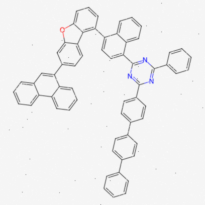 c1ccc(-c2ccc(-c3ccc(-c4nc(-c5ccccc5)nc(-c5ccc(-c6cccc7oc8cc(-c9cc%10ccccc%10c%10ccccc9%10)ccc8c67)c6ccccc56)n4)cc3)cc2)cc1